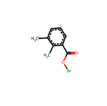 Cc1cccc(C(=O)OBr)c1C